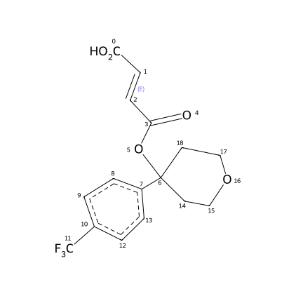 O=C(O)/C=C/C(=O)OC1(c2ccc(C(F)(F)F)cc2)CCOCC1